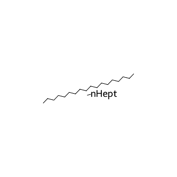 CCCCCCCC.CCCCCCCCCCCCCCCCCC